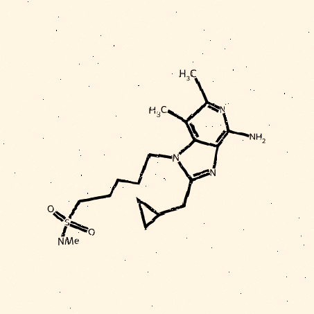 CNS(=O)(=O)CCCCCn1c(CC2CC2)nc2c(N)nc(C)c(C)c21